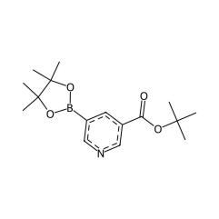 CC(C)(C)OC(=O)c1cncc(B2OC(C)(C)C(C)(C)O2)c1